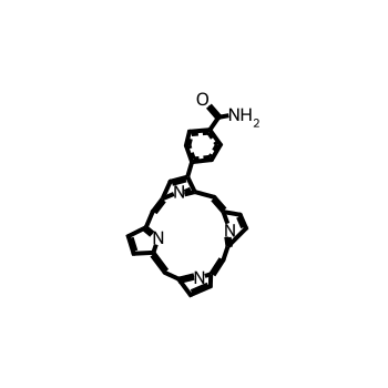 NC(=O)c1ccc(C2=CC3=CC4=NC(=CC5=NC(=CC6=NC(=CC2=N3)C=C6)C=C5)C=C4)cc1